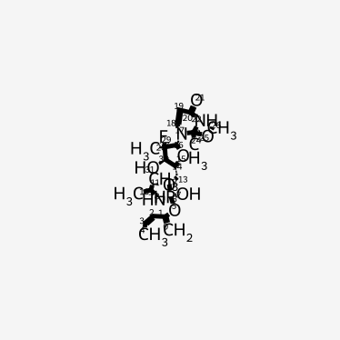 C=C(/C=C\C)O[PH](O)(NC(C)C)OC[C@H]1O[C@@H](N2C=CC(=O)NC2(C)OC)[C@](C)(F)[C@@H]1O